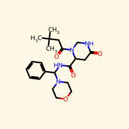 CC(C)(C)CC(=O)N1CNC(=O)CC1C(=O)NC(c1ccccc1)N1CCOCC1